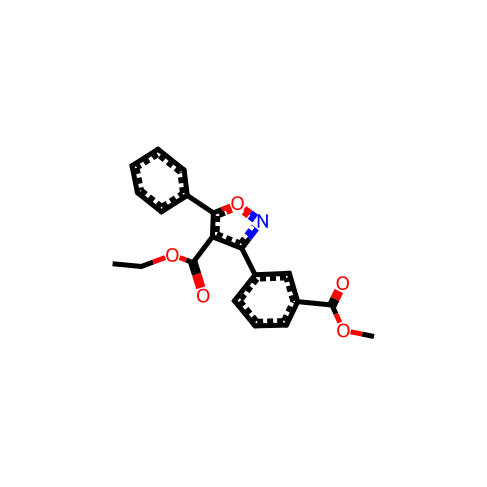 CCOC(=O)c1c(-c2cccc(C(=O)OC)c2)noc1-c1ccccc1